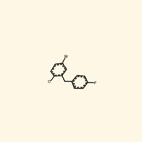 Fc1ccc(Cc2cc(Br)ccc2Cl)cc1